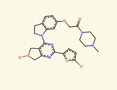 CN1CCN(C(=O)COc2ccc3c(c2)N(c2nc(-c4ccc(Cl)s4)nc4c2C[S+]([O-])C4)CC3)CC1